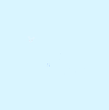 c1ccc2c(c1)-c1ccccc1C21c2ccccc2-c2cc(N(c3ccc(-c4cccc5ccccc45)cc3)c3ccc(-c4cccc5c4oc4ccccc45)cc3)c3ccccc3c21